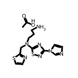 CC(=O)O.NCCCN(Cc1nccs1)c1nc(-n2ccnc2)ns1